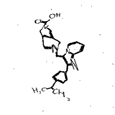 CC(C)c1ccc(-c2nc3ccccn3c2CN2CC3CN(C(=O)O)CC3C2)cc1